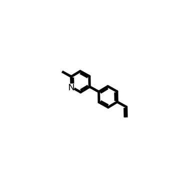 C=Cc1ccc(-c2ccc(C)nc2)cc1